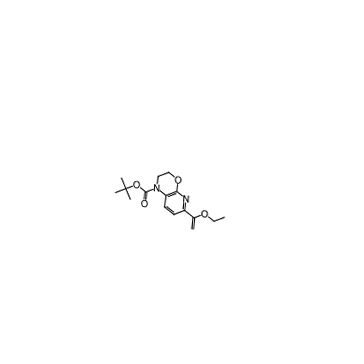 C=C(OCC)c1ccc2c(n1)OCCN2C(=O)OC(C)(C)C